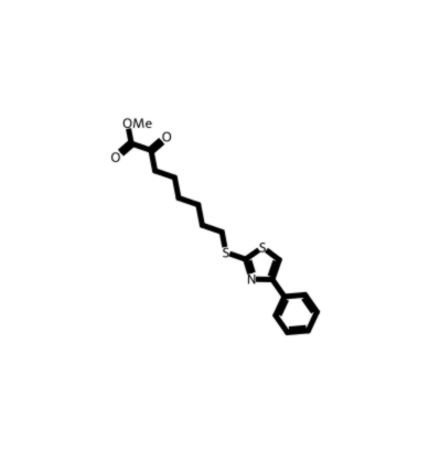 COC(=O)C(=O)CCCCCCSc1nc(-c2ccccc2)cs1